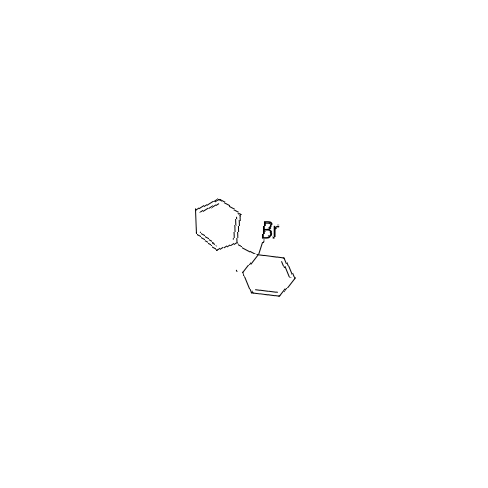 BrC1(c2ccccc2)[CH]C=CC=C1